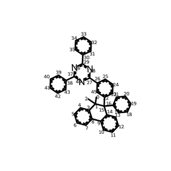 CC1(C)c2ccccc2-c2ccccc2C1(c1ccccc1)c1cccc(-c2nc(-c3ccccc3)nc(-c3ccccc3)n2)c1